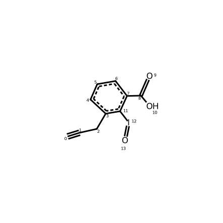 C#CCc1cccc(C(=O)O)c1I=O